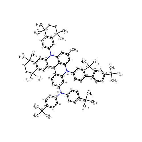 Cc1cc2c3c(c1)N(c1ccc4c(c1)C(C)(C)CCC4(C)C)c1cc4c(cc1B3c1ccc(N(c3ccc(C(C)(C)C)cc3)c3ccc(C(C)(C)C)cc3)cc1N2c1ccc2c(c1)C(C)(C)c1cc(C(C)(C)C)ccc1-2)C(C)(C)CCC4(C)C